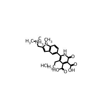 CCc1c(-c2ccc3c(c2)cc(CN(C)C)n3C)[nH]c(=O)c(C(=O)O)c1C(=O)O.Cl